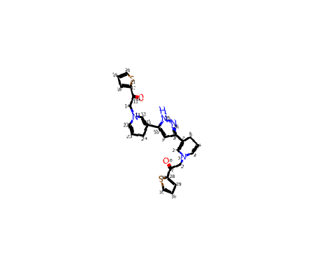 O=C(CN1C=CCC(c2cc(C3=CN(CC(=O)c4cccs4)C=CC3)[nH]n2)=C1)c1cccs1